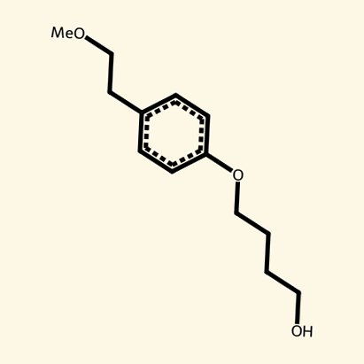 COCCc1ccc(OCCCCO)cc1